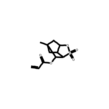 C=CC(=O)OC1C2C3CC1(C)CC3OS2(=O)=O